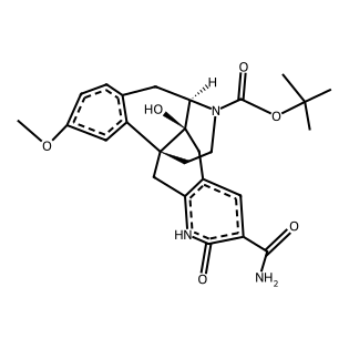 COc1ccc2c(c1)[C@]13CCN(C(=O)OC(C)(C)C)[C@H](C2)[C@]1(O)Cc1cc(C(N)=O)c(=O)[nH]c1C3